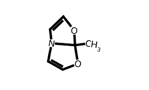 CC12OC=CN1C=CO2